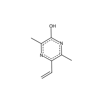 C=Cc1nc(C)c(O)nc1C